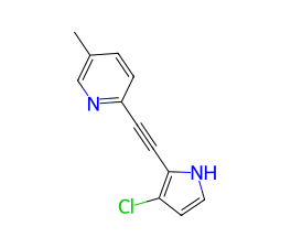 Cc1ccc(C#Cc2[nH]ccc2Cl)nc1